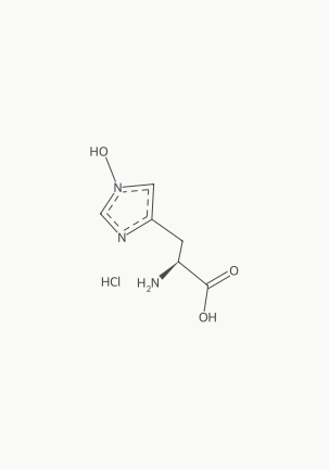 Cl.N[C@@H](Cc1cn(O)cn1)C(=O)O